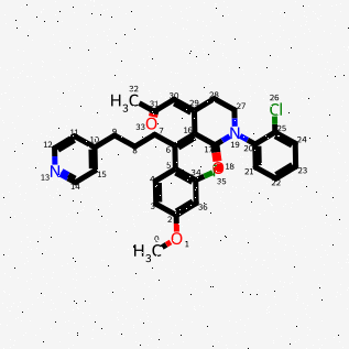 COc1ccc(/C(CCCc2ccncc2)=C2\C(=O)N(c3ccccc3Cl)CC\C2=C\C(C)=O)c(F)c1